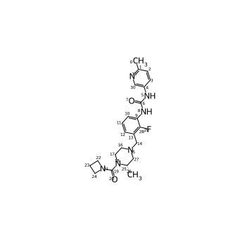 Cc1ccc(NC(=O)Nc2cccc(CN3CCN(C(=O)N4CCC4)[C@@H](C)C3)c2F)cn1